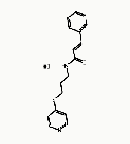 Cl.O=C(/C=C/c1ccccc1)NCCCSc1ccncc1